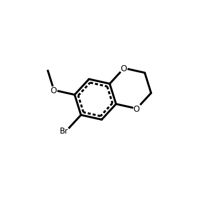 COc1cc2c(cc1Br)OCCO2